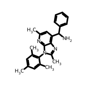 Cc1cc(C)c(-n2c(C)nc3c(C(N)c4ccccc4)cc(C)nc32)c(C)c1